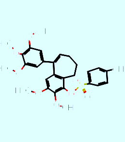 COc1cc(C2=CCCCc3c2cc(OC)c(OC)c3OS(=O)(=O)c2ccc(C)cc2)cc(OC)c1OC